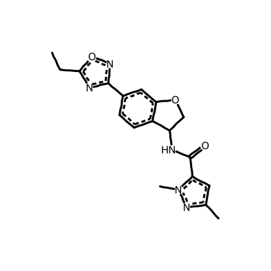 CCc1nc(-c2ccc3c(c2)OCC3NC(=O)c2cc(C)nn2C)no1